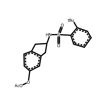 CC(=O)OOc1ccc2c(c1)CC(NS(=O)(=O)c1ccccc1C(C)(C)C)C2